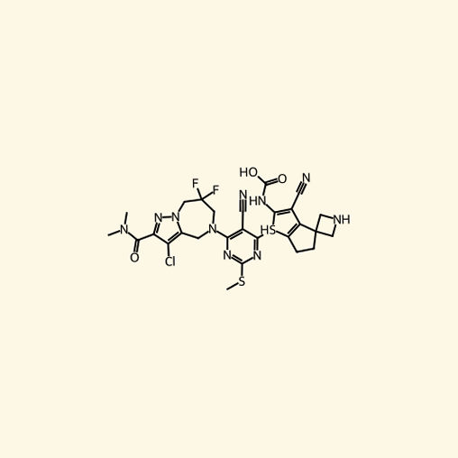 CSc1nc(N2Cc3c(Cl)c(C(=O)N(C)C)nn3CC(F)(F)C2)c(C#N)c([SH]2C3=C(C(C#N)=C2NC(=O)O)C2(CC3)CNC2)n1